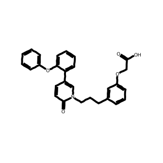 O=C(O)COc1cccc(CCCn2cc(-c3ccccc3Oc3ccccc3)ccc2=O)c1